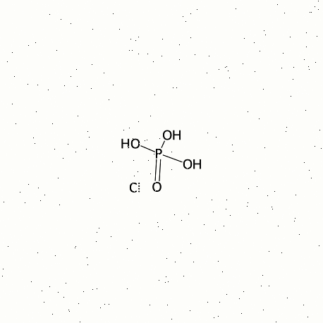 O=P(O)(O)O.[C]